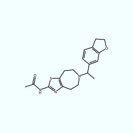 CC(=O)Nc1nc2c(s1)CCN(C(C)c1ccc3c(c1)OCC3)CC2